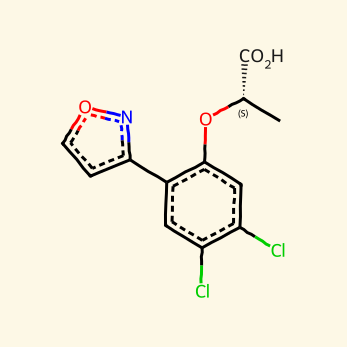 C[C@H](Oc1cc(Cl)c(Cl)cc1-c1ccon1)C(=O)O